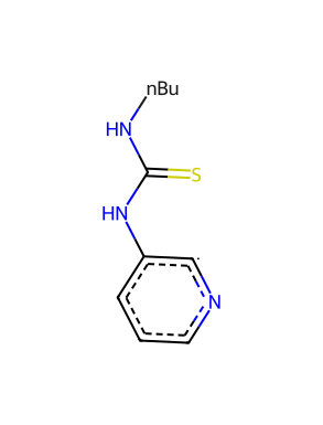 CCCCNC(=S)Nc1[c]nccc1